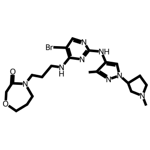 Cc1nn(C2CCN(C)C2)cc1Nc1ncc(Br)c(NCCCN2CCCOCC2=O)n1